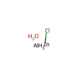 O.[AlH3].[Cl][Zn]